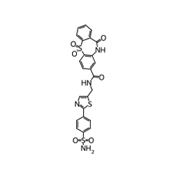 NS(=O)(=O)c1ccc(-c2ncc(CNC(=O)c3ccc4c(c3)NC(=O)c3ccccc3S4(=O)=O)s2)cc1